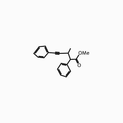 COC(=O)C(c1ccccc1)C(C)C#Cc1ccccc1